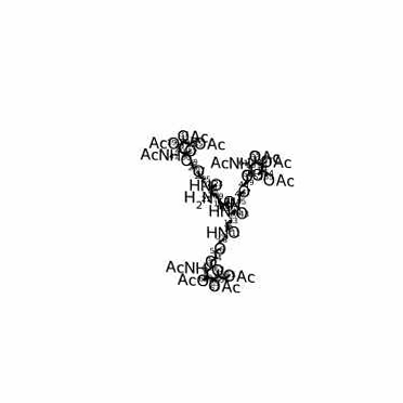 CC(=O)NC1C(OCCOCCNC(=O)CC[C@H](NC(=O)CC[C@H](N)C(=O)NCCOCCOC2OC(COC(C)=O)[C@H](OC(C)=O)C(OC(C)=O)C2NC(C)=O)C(=O)NCCOCCOC2OC(COC(C)=O)[C@H](OC(C)=O)C(OC(C)=O)C2NC(C)=O)OC(COC(C)=O)[C@H](OC(C)=O)C1OC(C)=O